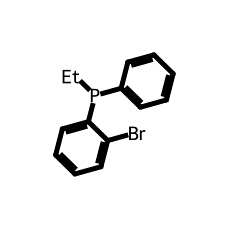 CCP(c1ccccc1)c1ccccc1Br